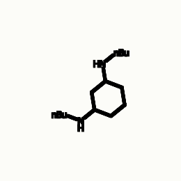 CCCCNC1CCCC(NCCCC)C1